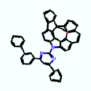 c1ccc(-c2cccc(-c3cc(-c4ccccc4)nc(-n4c5ccc6c7c5c5c8c(cccc8ccc54)C7(c4ccccc4)c4ccccc4-6)n3)c2)cc1